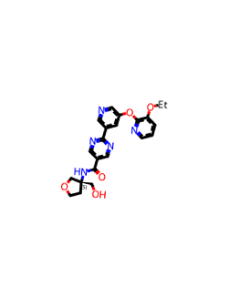 CCOc1cccnc1Oc1cncc(-c2ncc(C(=O)N[C@]3(CO)CCOC3)cn2)c1